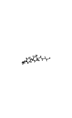 CCCCCC1CCC(C2CCC(=C=O)CC2)CC1